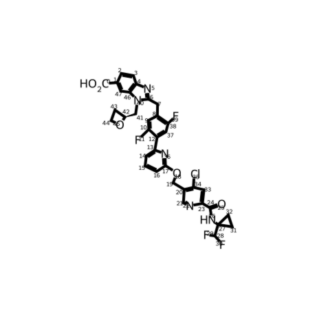 O=C(O)c1ccc2nc(Cc3cc(F)c(-c4cccc(OCc5cnc(C(=O)NC6(C(F)F)CC6)cc5Cl)n4)cc3F)n(C[C@@H]3CCO3)c2c1